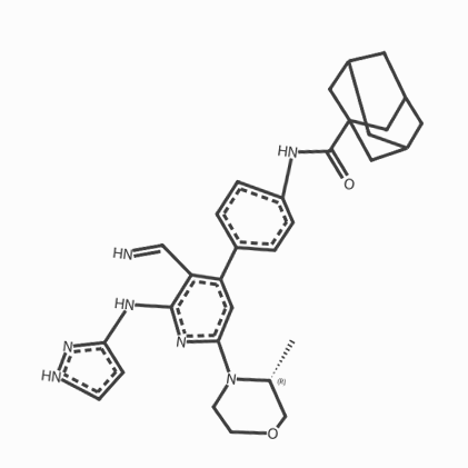 C[C@@H]1COCCN1c1cc(-c2ccc(NC(=O)C34CC5CC(CC(C5)C3)C4)cc2)c(C=N)c(Nc2cc[nH]n2)n1